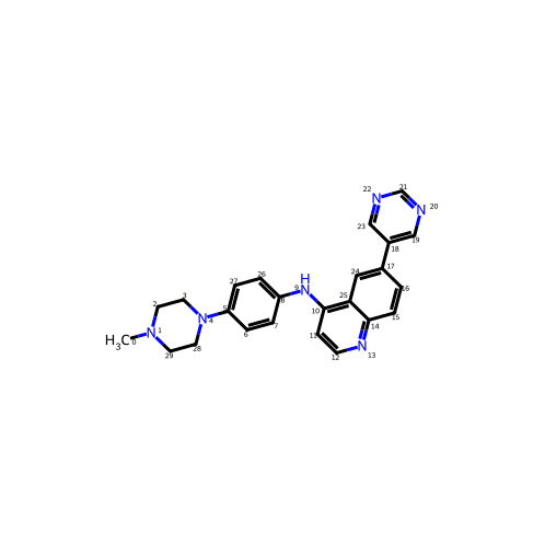 CN1CCN(c2ccc(Nc3ccnc4ccc(-c5cncnc5)cc34)cc2)CC1